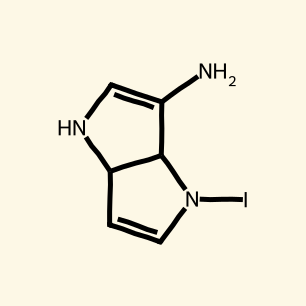 NC1=CNC2C=CN(I)C12